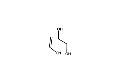 C=CC#N.OCCO